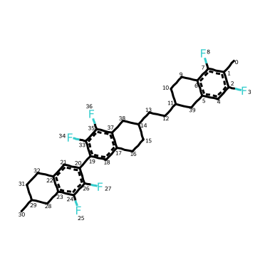 Cc1c(F)cc2c(c1F)CCC(CCC1CCc3cc(-c4cc5c(c(F)c4F)CC(C)CC5)c(F)c(F)c3C1)C2